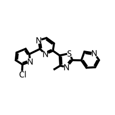 Cc1nc(-c2cccnc2)sc1-c1ccnc(-c2cccc(Cl)n2)n1